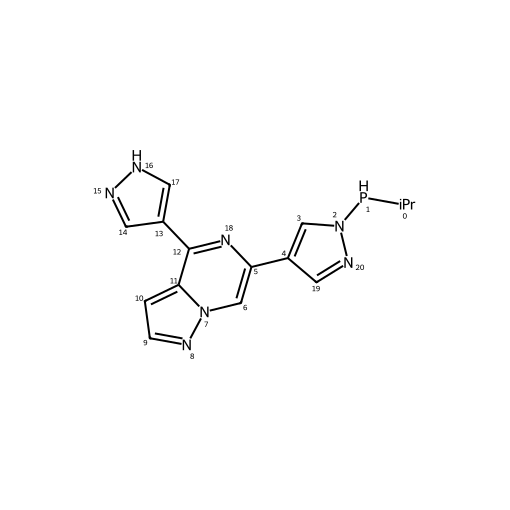 CC(C)Pn1cc(-c2cn3nccc3c(-c3cn[nH]c3)n2)cn1